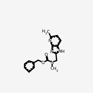 Cc1ccc2[nH]c(CN(C)C(=O)OCc3ccccc3)nc2n1